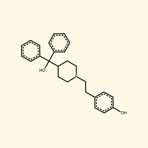 Oc1ccc(CCN2CCC(C(O)(c3ccccc3)c3ccccc3)CC2)cc1